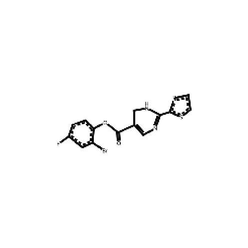 O=C(Oc1ccc(F)cc1Br)C1=CN=C(c2nccs2)NC1